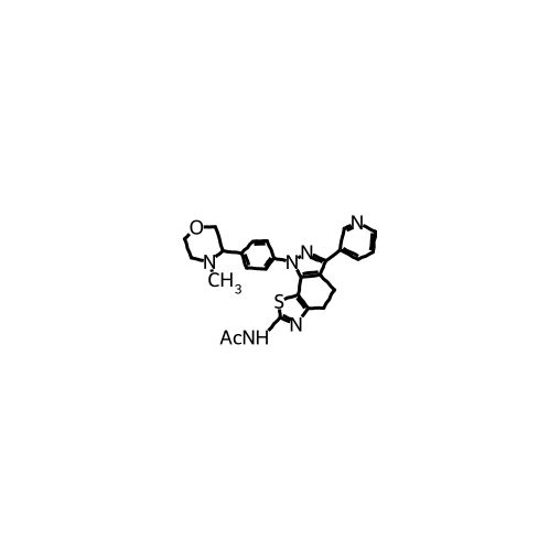 CC(=O)Nc1nc2c(s1)-c1c(c(-c3cccnc3)nn1-c1ccc(C3COCCN3C)cc1)CC2